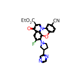 CCOC(=O)c1cn2c3c(c(N4CCC(c5cnccn5)C4)c(F)cc3c1=O)Oc1ccc(C#N)cc1-2